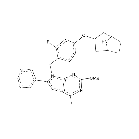 COc1nc(C)c2nc(-c3cncnc3)n(Cc3ccc(OC4CC5CCC(C4)N5)cc3F)c2n1